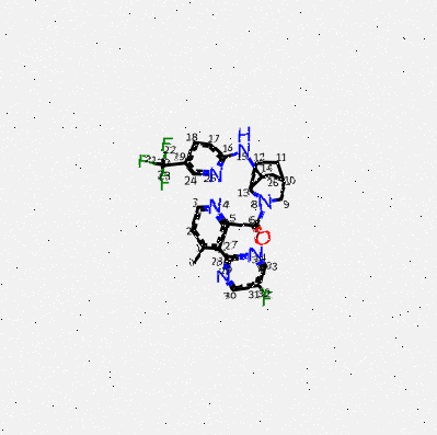 Cc1ccnc(C(=O)N2CC3CCC2C(Nc2ccc(C(F)(F)F)cn2)C3)c1-c1ncc(F)cn1